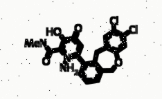 CNC(=O)c1c(O)c(=O)cc(-c2cccc3c2Cc2cc(Cl)c(Cl)cc2OC3)n1N